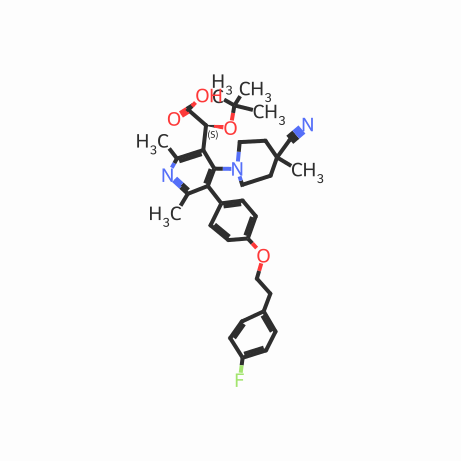 Cc1nc(C)c([C@H](OC(C)(C)C)C(=O)O)c(N2CCC(C)(C#N)CC2)c1-c1ccc(OCCc2ccc(F)cc2)cc1